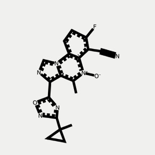 Cc1c2c(-c3nc(C4(C)CC4)no3)ncn2c2ccc(F)c(C#N)c2[n+]1[O-]